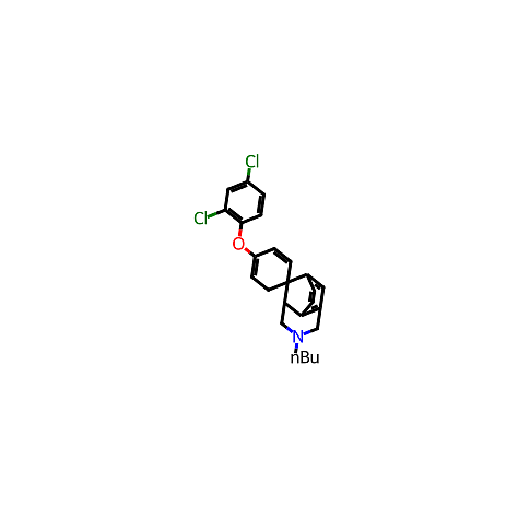 CCCCN1Cc2cc3ccc2C(C1)C31C=CC(Oc2ccc(Cl)cc2Cl)=CC1